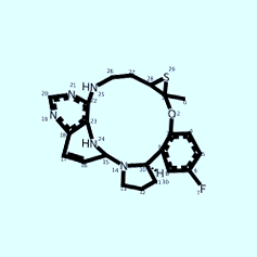 CC12Oc3ccc(F)cc3[C@H]3CCCN3C3C=Cc4ncnc(c4N3)NCCC1S2